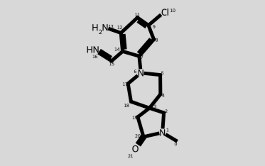 CN1CC2(CCN(c3cc(Cl)cc(N)c3C=N)CC2)CC1=O